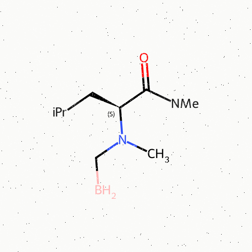 BCN(C)[C@@H](CC(C)C)C(=O)NC